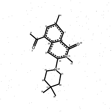 CC(=O)c1cc(C)cc2c(=O)n(C)c(N3CCC(C)(C)CC3)cc12